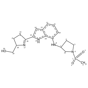 CS(=O)(=O)N1CCC(Nc2cccc3cc(C4=NC(CO)CS4)[nH]c23)C1